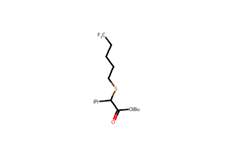 CC(C)COC(=O)C(SCCCCC(F)(F)F)C(C)C